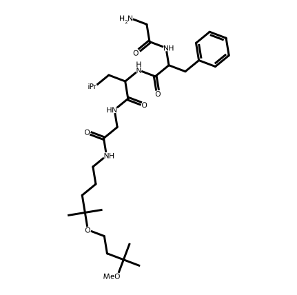 COC(C)(C)CCOC(C)(C)CCCNC(=O)CNC(=O)C(CC(C)C)NC(=O)C(Cc1ccccc1)NC(=O)CN